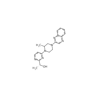 CC1CN(c2cnc3ccccc3n2)CCN1c1ccnc([C@@H](C)O)n1